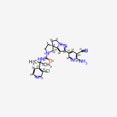 CC(C)(NC(=O)N1CC[C@]2(CCn3nc(-c4cnc(N)c(C#N)c4)cc32)C1)c1ccncc1Cl